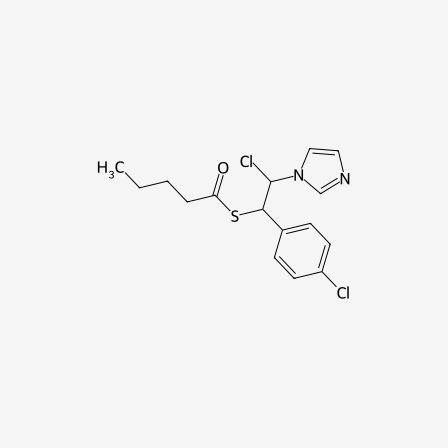 CCCCC(=O)SC(c1ccc(Cl)cc1)C(Cl)n1ccnc1